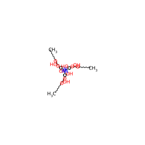 CCCCCCCCCOCC(O)COc1ccc(-c2nc(-c3ccc(OCC(O)COCCCCCCCCC)cc3O)nc(-c3ccc(OCC(O)COCCCCCCCCC)cc3O)n2)c(O)c1